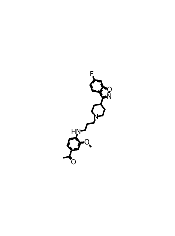 COc1cc(C(C)=O)ccc1NCCCN1CCC(c2noc3cc(F)ccc23)CC1